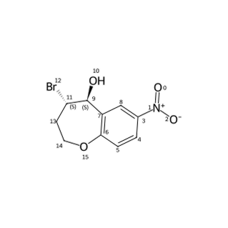 O=[N+]([O-])c1ccc2c(c1)[C@H](O)[C@@H](Br)CCO2